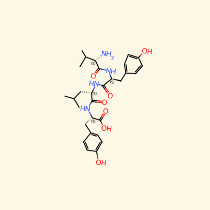 CC(C)C[C@H](NC(=O)[C@H](Cc1ccc(O)cc1)NC(=O)[C@@H](N)C(C)C)C(=O)N[C@@H](Cc1ccc(O)cc1)C(=O)O